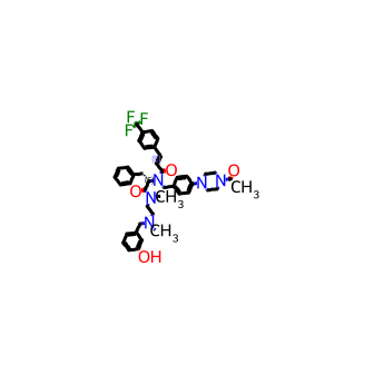 CC(=O)N1CCN(c2ccc(CN(C(=O)/C=C/c3ccc(C(F)(F)F)cc3)[C@@H](Cc3ccccc3)C(=O)N(C)CCN(C)Cc3cccc(O)c3)cc2)CC1